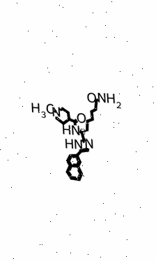 CN1CCC(C(=O)N[C@@H](CCCCCC(N)=O)c2ncc(-c3ccc4ccccc4c3)[nH]2)CC1